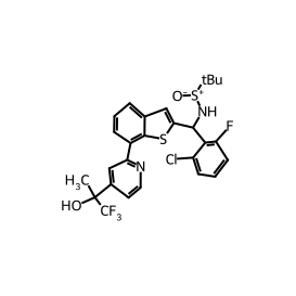 CC(C)(C)[S+]([O-])NC(c1cc2cccc(-c3cc(C(C)(O)C(F)(F)F)ccn3)c2s1)c1c(F)cccc1Cl